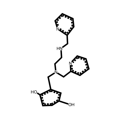 Oc1ccc(O)c(CN(CCNCc2ccccn2)Cc2ccccn2)c1